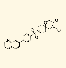 Cc1c(-c2ccc(S(=O)(=O)N3CCC4(CC3)CN(C3CC3)C(=O)CO4)cc2)ccc2cccnc12